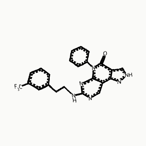 O=c1c2c[nH]nc2c2cnc(NCCc3cccc(C(F)(F)F)c3)nc2n1-c1ccccc1